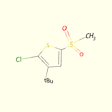 CC(C)(C)c1cc(S(C)(=O)=O)sc1Cl